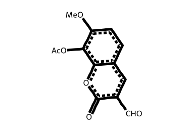 COc1ccc2cc(C=O)c(=O)oc2c1OC(C)=O